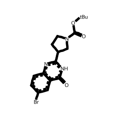 CC(C)(C)OC(=O)N1CCC(c2nc3ccc(Br)cc3c(=O)[nH]2)C1